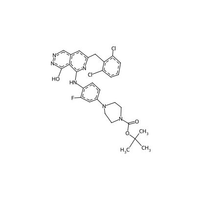 CC(C)(C)OC(=O)N1CCN(c2ccc(Nc3nc(Cc4c(Cl)cccc4Cl)cc4cnnc(O)c34)c(F)c2)CC1